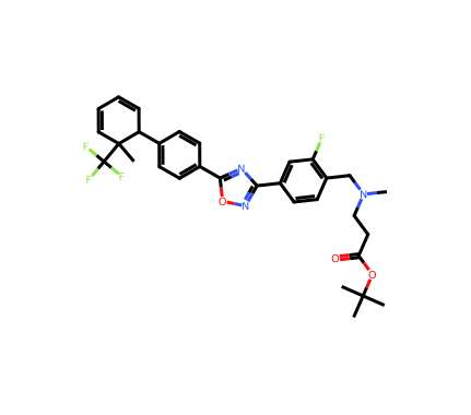 CN(CCC(=O)OC(C)(C)C)Cc1ccc(-c2noc(-c3ccc(C4C=CC=CC4(C)C(F)(F)F)cc3)n2)cc1F